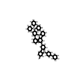 Cc1ccc2c3cc(-c4ccc5c(c4)c4ccccc4n5-c4cc([Si](c5ccccc5)(c5ccccc5)c5ccccc5)ccc4-c4ccccc4)ccc3n(-c3ccc(-c4ccccc4)cc3)c2c1